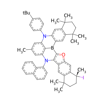 Cc1cc2c3c(c1)N(c1cccc4ccccc14)c1c(oc4cc5c(cc14)C(C)(C)CC[C@@]5(C)I)B3c1cc3c(cc1N2c1ccc(C(C)(C)C)cc1)C(C)(C)CCC3(C)C